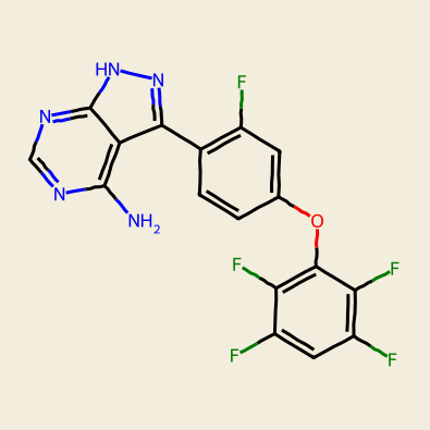 Nc1ncnc2[nH]nc(-c3ccc(Oc4c(F)c(F)cc(F)c4F)cc3F)c12